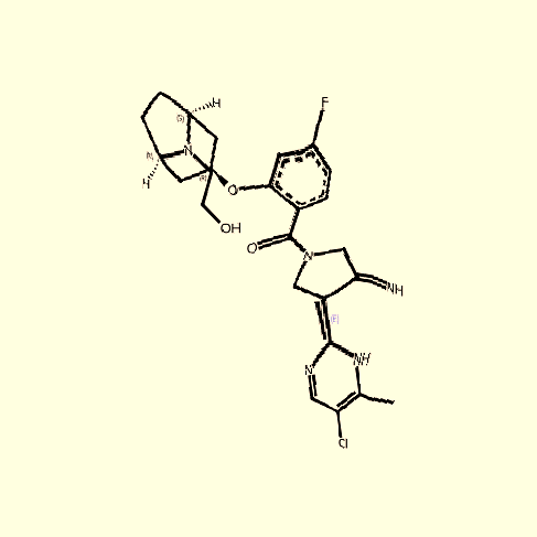 CC1=C(Cl)C=N/C(=C2\CN(C(=O)c3ccc(F)cc3O[C@H]3C[C@H]4CC[C@@H](C3)N4CCO)CC2=N)N1